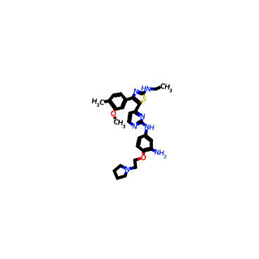 CCNc1nc(-c2ccc(C)c(OC)c2)c(-c2ccnc(Nc3ccc(OCCN4CCCC4)c(N)c3)n2)s1